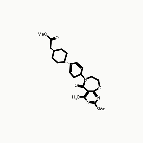 COC(=O)C[C@H]1CC[C@H](C2=CCC(N3CCOc4nc(SC)nc(C)c4C3=O)C=C2)CC1